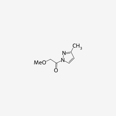 COCC(=O)n1ccc(C)n1